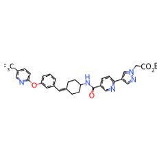 CCOC(=O)Cn1cc(-c2ccc(C(=O)NC3CCC(=Cc4cccc(Oc5ccc(C(F)(F)F)cn5)c4)CC3)cn2)cn1